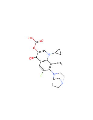 Cc1c(N2CCN3CCC2C3)c(F)cc2c(=O)c(OC(=O)O)cn(C3CC3)c12